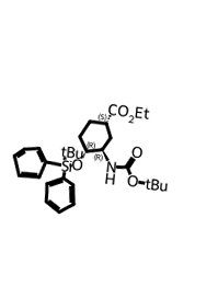 CCOC(=O)[C@H]1CC[C@@H](O[Si](c2ccccc2)(c2ccccc2)C(C)(C)C)[C@H](NC(=O)OC(C)(C)C)C1